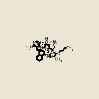 CCCCOC(=O)[C@H](C)NP(=O)(Oc1cccc2ccccc12)O[C@H](CC)[C@H]1O[C@@H](n2ccc3c(N)ncnc32)[C@](C)(O)[C@@H]1O